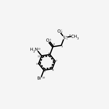 C[S+]([O-])CC(=O)c1ccc(Br)cc1N